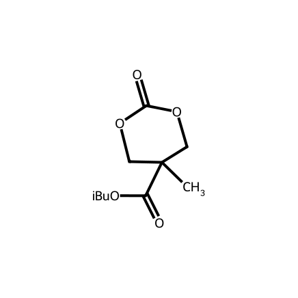 CC(C)COC(=O)C1(C)COC(=O)OC1